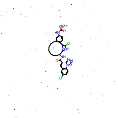 COC(=O)Nc1ccc2c(c1)CCCCCCC[C@H](NC(=O)/C=C/c1cc(Cl)ccc1-n1cnnn1)c1nc-2c(Cl)[nH]1